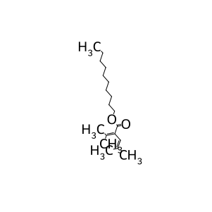 CCCCCCCCCCOC(=O)C(C=C(C)C)=C(C)C